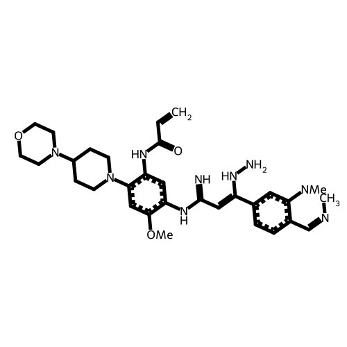 C=CC(=O)Nc1cc(NC(=N)/C=C(\NN)c2ccc(/C=N\C)c(NC)c2)c(OC)cc1N1CCC(N2CCOCC2)CC1